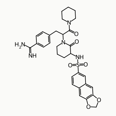 N=C(N)c1ccc(CC(C(=O)N2CCCCC2)N2CCCC(NS(=O)(=O)c3ccc4cc5c(cc4c3)OCO5)C2=O)cc1